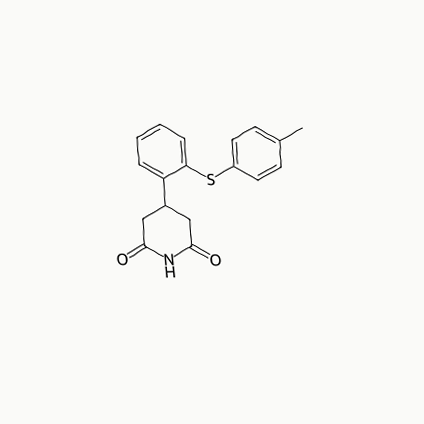 Cc1ccc(Sc2ccccc2C2CC(=O)NC(=O)C2)cc1